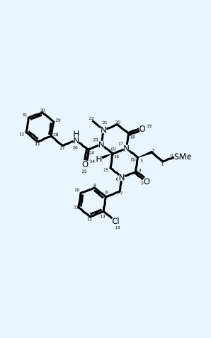 CSCC[C@H]1C(=O)N(Cc2ccccc2Cl)C[C@H]2N1C(=O)CN(C)N2C(=O)NCc1ccccc1